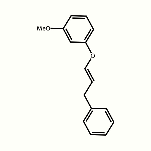 COc1cccc(OC=CCc2ccccc2)c1